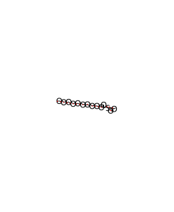 COCCOCCOCCOCCOCCOCCOCCOCCOCCOC(=O)CCSCC(COC)OC